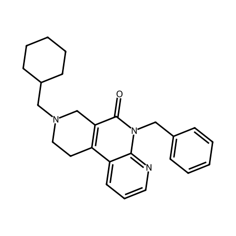 O=c1c2c(c3cccnc3n1Cc1ccccc1)CCN(CC1CCCCC1)C2